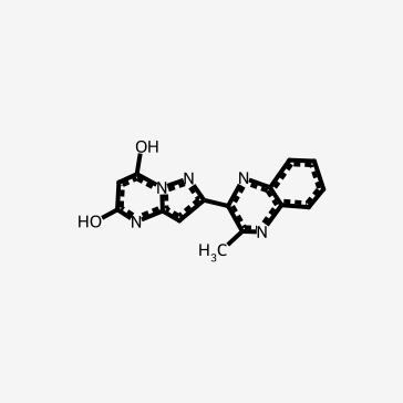 Cc1nc2ccccc2nc1-c1cc2nc(O)cc(O)n2n1